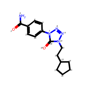 NC(=O)c1ccc(-n2nnn(CCC3CCCC3)c2=O)cc1